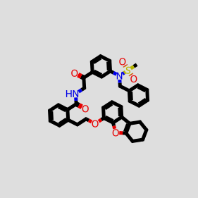 CS(=O)(=O)N(Cc1ccccc1)c1cccc(C(=O)CNC(=O)c2ccccc2CCOc2cccc3c4c(oc23)CCCC4)c1